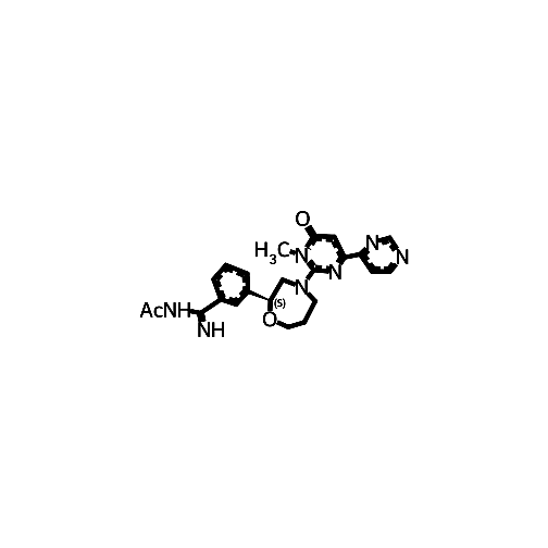 CC(=O)NC(=N)c1cccc([C@H]2CN(c3nc(-c4ccncn4)cc(=O)n3C)CCCO2)c1